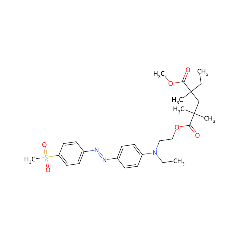 CCN(CCOC(=O)C(C)(C)CC(C)(CC)C(=O)OC)c1ccc(/N=N/c2ccc(S(C)(=O)=O)cc2)cc1